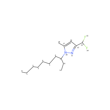 CCCCCCCC(CC)n1nc(C(F)F)cc1C